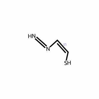 N=N/C=C\S